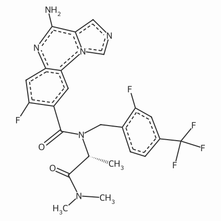 C[C@H](C(=O)N(C)C)N(Cc1ccc(C(F)(F)F)cc1F)C(=O)c1cc2c(cc1F)nc(N)c1cncn12